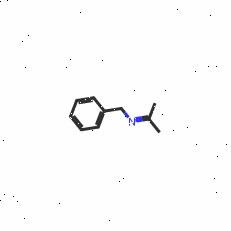 CC(C)=NCc1ccccc1